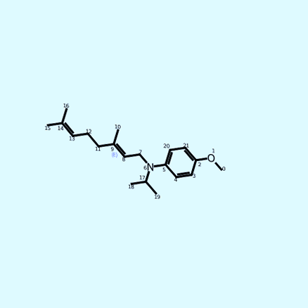 COc1ccc(N(C/C=C(\C)CCC=C(C)C)C(C)C)cc1